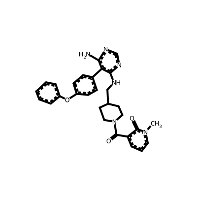 Cn1cccc(C(=O)N2CCC(CNc3ncnc(N)c3-c3ccc(Oc4ccccc4)cc3)CC2)c1=O